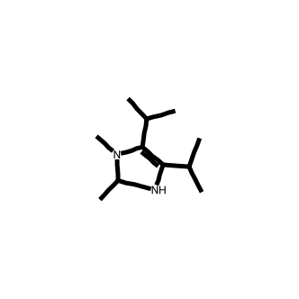 CC(C)C1=C(C(C)C)N(C)C(C)N1